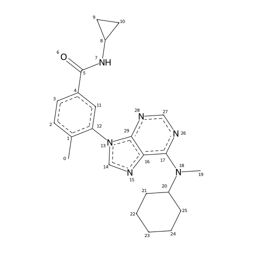 Cc1ccc(C(=O)NC2CC2)cc1-n1cnc2c(N(C)C3CCCCC3)ncnc21